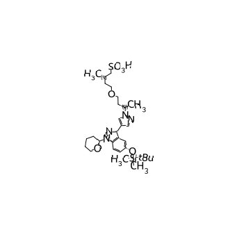 C[C@@H](CCOCC[C@@H](C)n1cc(-c2nn(C3CCCCO3)c3ccc(O[Si](C)(C)C(C)(C)C)cc23)cn1)CS(=O)(=O)O